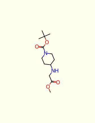 COC(=O)CNC1CCN(C(=O)OC(C)(C)C)CC1